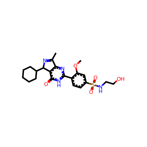 COc1cc(S(=O)(=O)NCCO)ccc1-c1nc2c(c(=O)[nH]1)C(C1CCCCC1)N=C2C